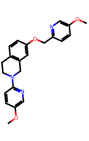 COc1ccc(COc2ccc3c(c2)CN(c2ccc(OC)cn2)CC3)nc1